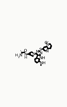 CNc1cccc2c1[nH]c1nc(Sc3cnc4ccc[n+]([O-])c4c3)nc(N3CC4C(C3)C4NC(=O)[C@@H](C)N)c12